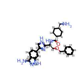 NC[C@H]1CC[C@H](C(=O)N[C@@H](COCc2ccccc2)c2nc(-c3ccc4c(N)n[nH]c4c3)c[nH]2)CC1